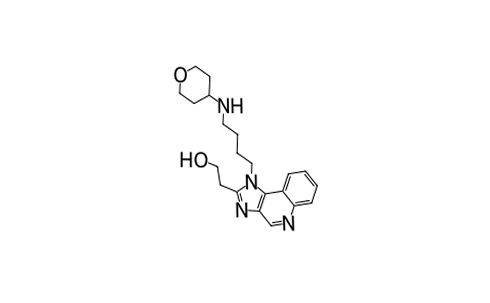 OCCc1nc2cnc3ccccc3c2n1CCCCNC1CCOCC1